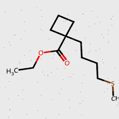 CCOC(=O)C1(CCCCSC)CCC1